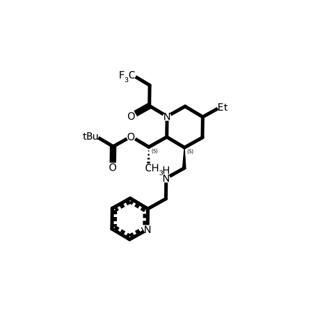 CCC1C[C@@H](CNCc2ccccn2)C([C@H](C)OC(=O)C(C)(C)C)N(C(=O)CC(F)(F)F)C1